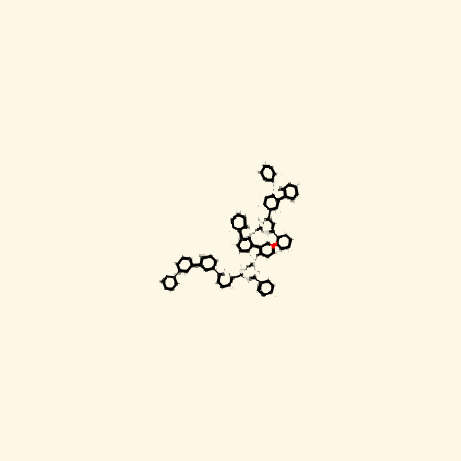 c1ccc(-c2ccc3oc4ccc(-c5cccc(-c6nc(-c7ccccc7)nc(-n7c8ccccc8c8c7ccc7c9ccccc9n(-c9nc(-c%10ccccc%10)cc(-c%10ccc%11c(c%10)c%10ccccc%10n%11-c%10ccccc%10)n9)c78)n6)n5)cc4c3c2)cc1